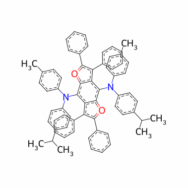 Cc1ccc(N(c2ccc(C(C)C)cc2)c2c3oc(-c4ccccc4)c(-c4ccccc4)c3c(N(c3ccc(C)cc3)c3ccc(C(C)C)cc3)c3oc(-c4ccccc4)c(-c4ccccc4)c23)cc1